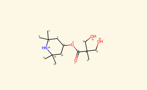 CC1(C)CC(OC(=O)C(C)(CO)CO)CC(C)(C)N1